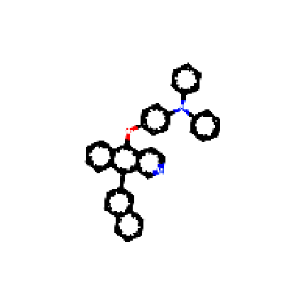 c1ccc(N(c2ccccc2)c2ccc(Oc3c4ccccc4c(-c4ccc5ccccc5c4)c4cnccc34)cc2)cc1